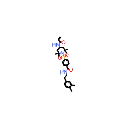 C=CC(=O)NC1CC(C)(C)N(S(=O)(=O)c2ccc(C(=O)NCCc3ccc(C)c(C)c3)cc2)C(C)(C)C1